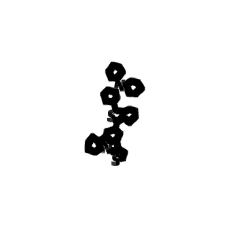 c1ccc(N(c2ccccc2)c2cccc(-c3sc(-c4cc5c6ccccc6n6c7sccc7c(c4)c56)c4ccccc34)c2)cc1